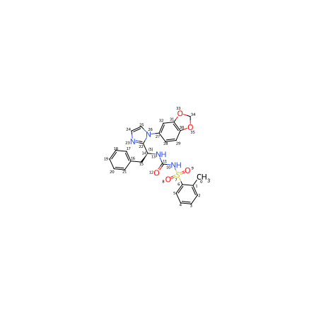 Cc1ccccc1S(=O)(=O)NC(=O)N[C@@H](Cc1ccccc1)c1nccn1-c1ccc2c(c1)OCO2